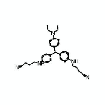 CCN(CC)c1ccc(C(c2ccc(NCCCC#N)cc2)c2ccc(NCCCC#N)cc2)cc1